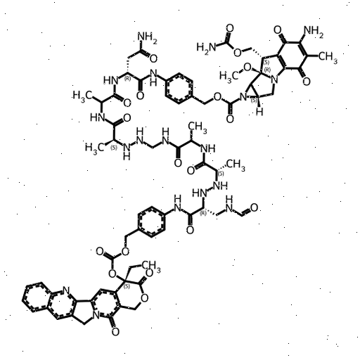 CC[C@@]1(OC(=O)OCc2ccc(NC(=O)[C@@H](CNC=O)NN[C@@H](C)C(=O)NC(C)C(=O)NCNN[C@@H](C)C(=O)NC(C)C(=O)N[C@H](CC(N)=O)C(=O)Nc3ccc(COC(=O)N4C5[C@@H]4CN4C6=C(C(=O)C(N)=C(C)C6=O)[C@@H](COC(N)=O)[C@@]54OC)cc3)cc2)C(=O)OCc2c1cc1n(c2=O)Cc2cc3ccccc3nc2-1